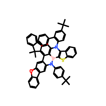 CC(C)(C)c1ccc(N2B3c4sc5ccccc5c4N(c4ccc(C(C)(C)C)cc4-c4ccccc4)c4cc5c(c(c43)-c3cc4oc6ccccc6c4cc32)C(C)(C)c2ccccc2-5)cc1